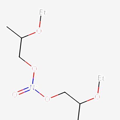 CCOC(C)CO[N+](=O)OCC(C)OCC